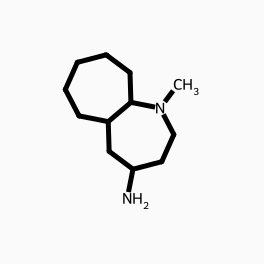 CN1CCC(N)CC2CCCCCC21